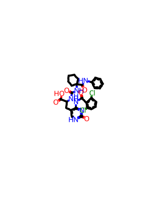 O=C(NC(Cc1c[nH]c(=O)nc1NC(=O)c1c(Cl)cccc1Cl)C(=O)O)NC1(C(=O)Nc2ccccc2)CCCCC1